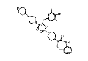 Cc1cc(C[C@@H](OC(=O)N2CCC(N3CCc4ccccc4NC3=O)CC2)C(=O)N2CCC(C3CCNCC3)CC2)cc(C)c1Br